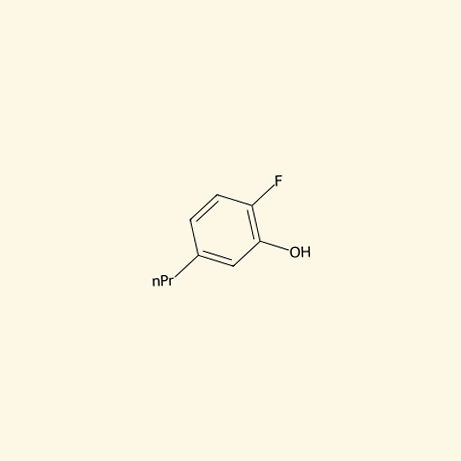 CCCc1ccc(F)c(O)c1